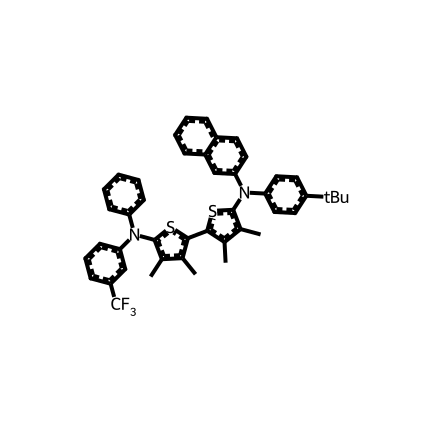 Cc1c(-c2sc(N(c3ccc(C(C)(C)C)cc3)c3ccc4ccccc4c3)c(C)c2C)sc(N(c2ccccc2)c2cccc(C(F)(F)F)c2)c1C